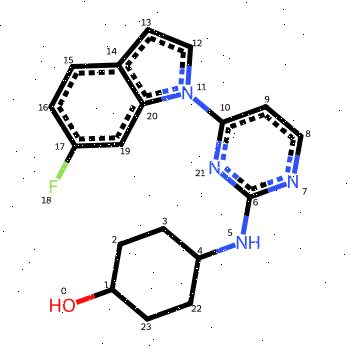 OC1CCC(Nc2nccc(-n3ccc4ccc(F)cc43)n2)CC1